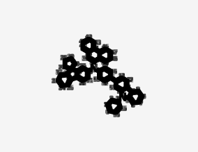 c1ccc(-n2c3ccccc3c3ccc(-c4ccc(N(c5ccc6c(c5)C5(CCCC5)c5ccccc5-6)c5cc6ccccc6c6ccccc56)cc4)cc32)cc1